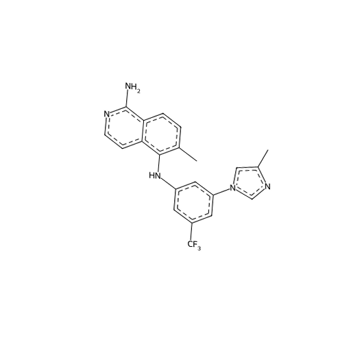 Cc1cn(-c2cc(Nc3c(C)ccc4c(N)nccc34)cc(C(F)(F)F)c2)cn1